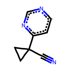 N#CC1(c2c[c]ncn2)CC1